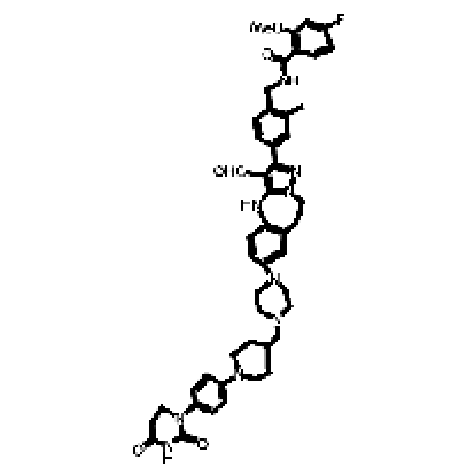 COc1cc(F)ccc1C(=O)NCc1ccc(-c2nn3c(c2C=O)Nc2ccc(N4CCN(CC5CCN(c6ccc(N7CCC(=O)NC7=O)cc6)CC5)CC4)cc2CC3)cc1C